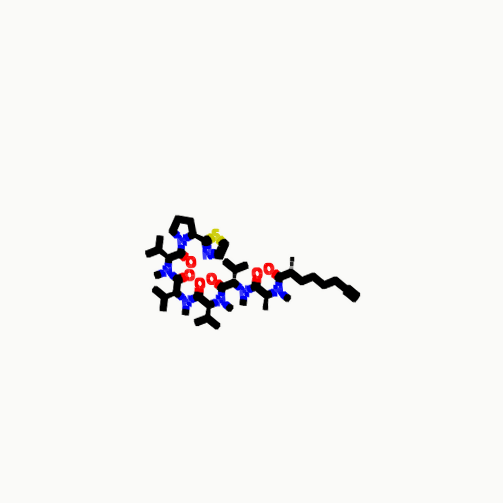 C#CCCCC[C@@H](C)C(=O)N(C)[C@@H](C)C(=O)N(C)[C@H](C(=O)N(C)[C@H](C(=O)N(C)[C@H](C(=O)N(C)[C@H](C(=O)N1CCC[C@H]1c1nccs1)C(C)C)C(C)C)C(C)C)C(C)C